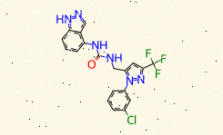 O=C(NCc1cc(C(F)(F)F)nn1-c1cccc(Cl)c1)Nc1cccc2[nH]ncc12